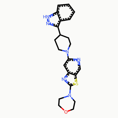 c1ccc2c(C3CCN(c4cc5nc(N6CCOCC6)sc5cn4)CC3)n[nH]c2c1